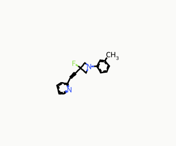 Cc1cccc(N2CC(F)(C#Cc3ccccn3)C2)c1